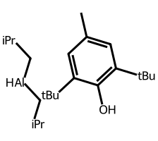 CC(C)[CH2][AlH][CH2]C(C)C.Cc1cc(C(C)(C)C)c(O)c(C(C)(C)C)c1